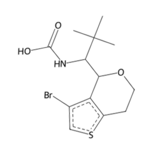 CC(C)(C)C(NC(=O)O)C1OCCc2scc(Br)c21